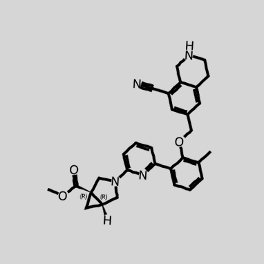 COC(=O)[C@]12C[C@H]1CN(c1cccc(-c3cccc(C)c3OCc3cc(C#N)c4c(c3)CCNC4)n1)C2